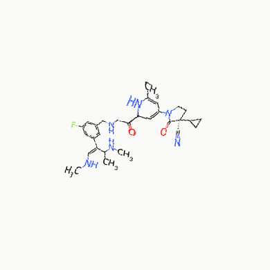 CN/C=C(/c1cc(F)cc(CNCC(=O)C2C=C(N3CC[C@@](C#N)(C4CC4)C3=O)C=C(C)N2)c1)C(C)NC